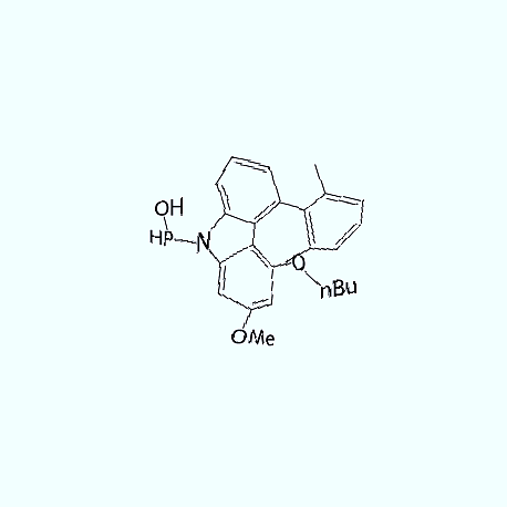 CCCCOc1cc(OC)cc2c1c1c(-c3c(C)cccc3C)cccc1n2PO